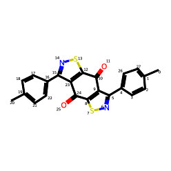 Cc1ccc(-c2nsc3c2C(=O)c2snc(-c4ccc(C)cc4)c2C3=O)cc1